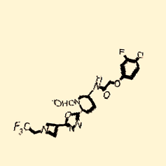 O=[C]N1C[C@@H](NC(=O)COc2ccc(Cl)c(F)c2)CC[C@@H]1c1nnc(C2CN(CC(F)(F)F)C2)o1